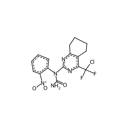 NC(=O)N(c1nc2c(c(C(F)(F)Cl)n1)CCCC2)c1ccccc1[N+](=O)[O-]